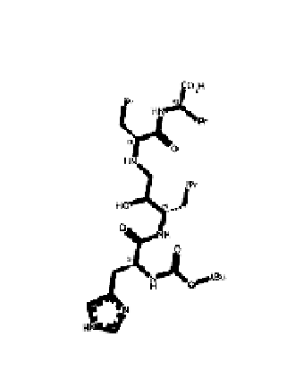 CC(C)C[C@H](NCC(O)[C@H](CC(C)C)NC(=O)[C@H](Cc1c[nH]cn1)NC(=O)OC(C)(C)C)C(=O)N[C@@H](C(=O)O)C(C)C